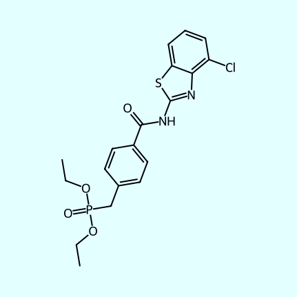 CCOP(=O)(Cc1ccc(C(=O)Nc2nc3c(Cl)cccc3s2)cc1)OCC